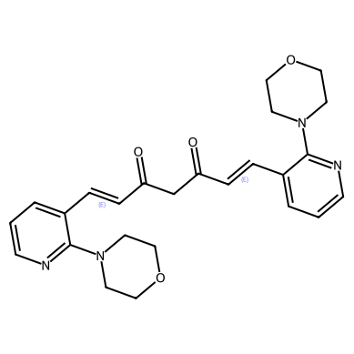 O=C(/C=C/c1cccnc1N1CCOCC1)CC(=O)/C=C/c1cccnc1N1CCOCC1